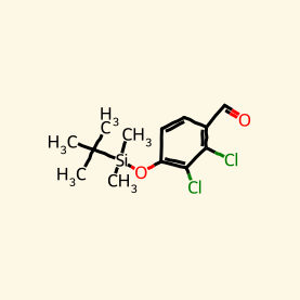 CC(C)(C)[Si](C)(C)Oc1ccc(C=O)c(Cl)c1Cl